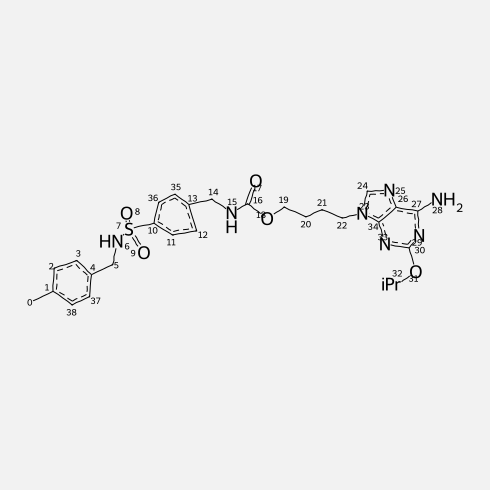 Cc1ccc(CNS(=O)(=O)c2ccc(CNC(=O)OCCCCn3cnc4c(N)nc(OC(C)C)nc43)cc2)cc1